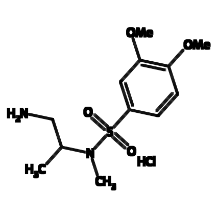 COc1ccc(S(=O)(=O)N(C)C(C)CN)cc1OC.Cl